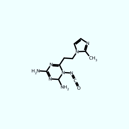 Cc1nccn1CCC1=NC(N)=NC(N)N1N=C=O